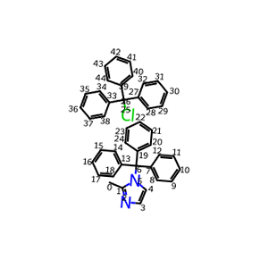 Cc1nccn1C(c1ccccc1)(c1ccccc1)c1ccccc1.ClC(c1ccccc1)(c1ccccc1)c1ccccc1